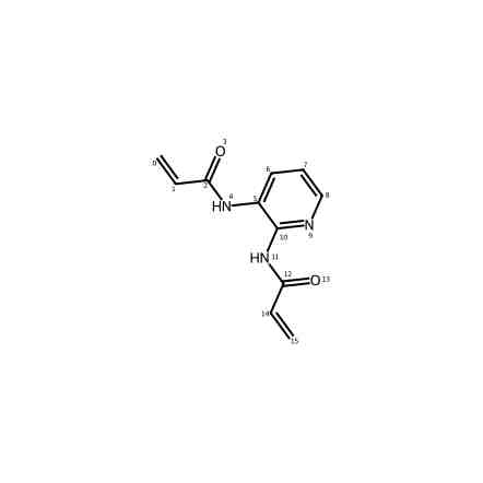 C=CC(=O)Nc1cccnc1NC(=O)C=C